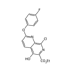 CCOC(=O)c1nc(Cl)c2nc(Oc3ccc(F)cc3)ccc2c1O